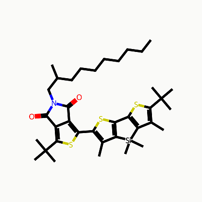 CCCCCCCCC(C)CN1C(=O)c2c(-c3sc4c(c3C)[Si](C)(C)c3c-4sc(C(C)(C)C)c3C)sc(C(C)(C)C)c2C1=O